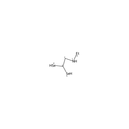 CCNCC([SeH])[SeH]